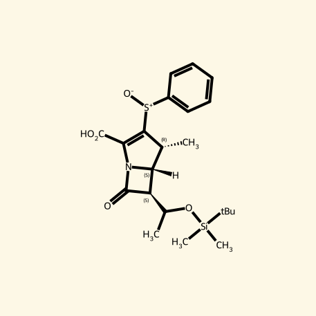 CC(O[Si](C)(C)C(C)(C)C)[C@H]1C(=O)N2C(C(=O)O)=C([S+]([O-])c3ccccc3)[C@H](C)[C@H]12